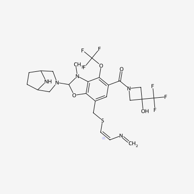 C=N/C=C\SCc1cc(C(=O)N2CC(O)(C(F)(F)F)C2)c(OC(F)(F)F)c2c1OC(N1CC3CCC(C1)N3)N2C